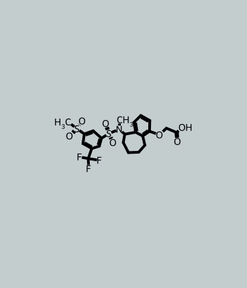 CN(C1CCCCc2c(OCC(=O)O)cccc21)S(=O)(=O)c1cc(C(F)(F)F)cc(S(C)(=O)=O)c1